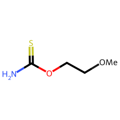 COCCOC(N)=S